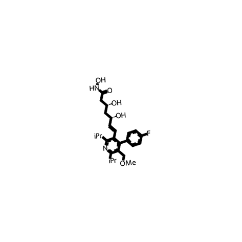 COCc1c(C(C)C)nc(C(C)C)c(/C=C/[C@@H](O)C[C@@H](O)CC(=O)NO)c1-c1ccc(F)cc1